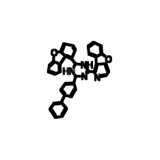 c1ccc(-c2ccc(C3N=C(c4nccc5oc6ccccc6c45)NC(c4cccc5oc6ccccc6c45)N3)cc2)cc1